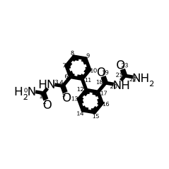 NC(=O)NC(=O)c1ccccc1-c1ccccc1C(=O)NC(N)=O